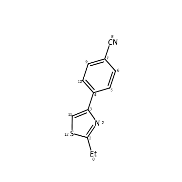 CCc1nc(-c2ccc(C#N)cc2)cs1